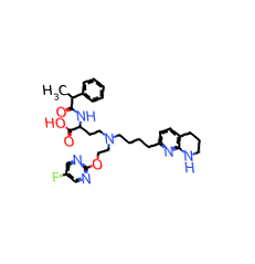 CC(C(=O)NC(CCN(CCCCc1ccc2c(n1)NCCC2)CCOc1ncc(F)cn1)C(=O)O)c1ccccc1